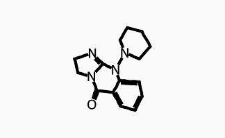 O=C1c2ccccc2N(N2CCCCC2)C2=NCCN12